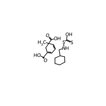 CC1(C(=O)O)C=CC=C(C(=O)O)C1.OC(=S)SNCC1CCCCC1